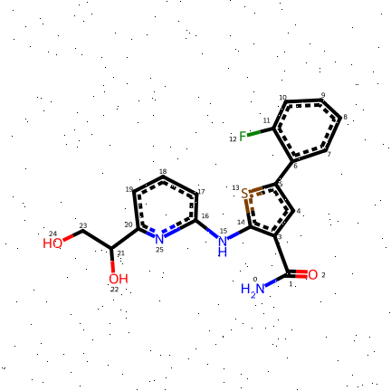 NC(=O)c1cc(-c2ccccc2F)sc1Nc1cccc(C(O)CO)n1